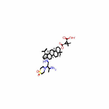 C=C(C)[C@@H]1CC[C@]2(NCC(C(C)N)N3CCS(=O)(=O)CC3)CC[C@]3(C)[C@H](CC[C@@H]4[C@@]5(C)CC[C@H](OC(=O)[C@H]6[C@@H](C(=O)O)C6(C)C)C(C)(C)[C@@H]5CC[C@]43C)[C@@H]12